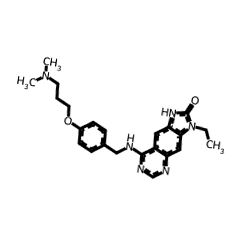 CCn1c(=O)[nH]c2cc3c(NCc4ccc(OCCCN(C)C)cc4)ncnc3cc21